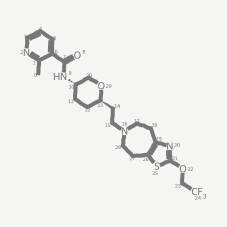 Cc1ncccc1C(=O)N[C@H]1CC[C@H](CCN2CCc3nc(OCC(F)(F)F)sc3CC2)OC1